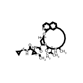 C=C[C@@H]1C[C@]1(NC(=O)[C@@H]1C[C@@H]2CN1C(=O)[C@H](C(C)C)NC(C)CCCCCCc1ccc3ccnc(c3c1)O2)C(=O)NSC1CC1